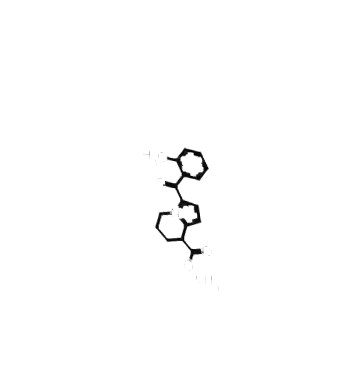 COC(=O)C1CCCn2c(C(=S)c3ccccc3C)ccc21